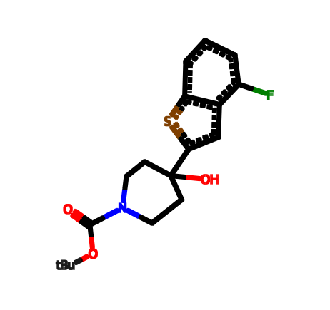 CC(C)(C)OC(=O)N1CCC(O)(c2cc3c(F)cccc3s2)CC1